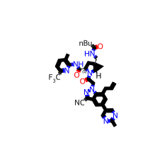 C=CCc1cc(-c2cnc(C)nc2)cc2c(C#N)nn(CC(=O)N3[C@H](C(=O)Nc4nc(C(F)(F)F)ccc4C)C[C@@]4(CNC(=O)CCCC)C[C@@H]34)c12